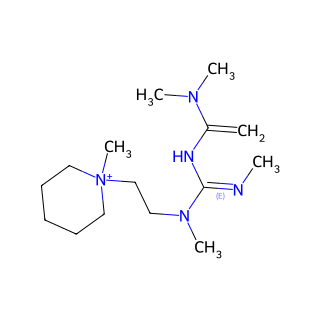 C=C(N/C(=N\C)N(C)CC[N+]1(C)CCCCC1)N(C)C